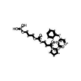 O=C[C@@H](Cc1ccccc1)NC(=O)[C@@H]1CCCN1C(=O)CCSC(=O)OCCCON(O)O